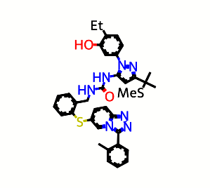 CCc1ccc(-n2nc(C(C)(C)SC)cc2NC(=O)NCc2ccccc2Sc2ccc3nnc(-c4ccccc4C)n3c2)cc1O